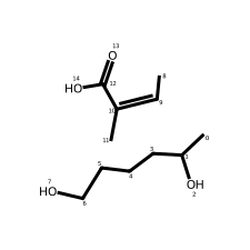 CC(O)CCCCO.CC=C(C)C(=O)O